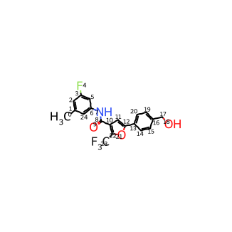 Cc1cc(F)cc(NC(=O)c2cc(-c3ccc(CO)cc3)oc2C(F)(F)F)c1